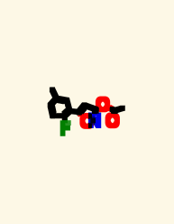 CC(=O)Oc1cc(-c2cc(C)ccc2F)on1